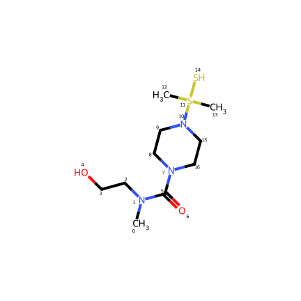 CN(CCO)C(=O)N1CCN(S(C)(C)S)CC1